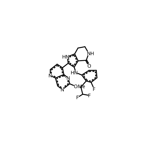 COc1ncc2nccc(-c3[nH]c4c(c3Nc3cccc(F)c3CC(F)F)C(=O)NCC4)c2n1